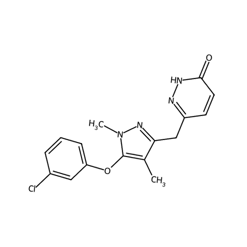 Cc1c(Cc2ccc(=O)[nH]n2)nn(C)c1Oc1cccc(Cl)c1